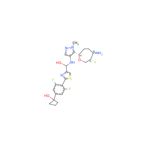 Cn1ncc(NC(O)c2csc(-c3c(F)cc(C4(O)CCC4)cc3F)n2)c1[C@@H]1CC[C@@H](N)[C@H](F)CO1